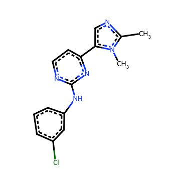 Cc1ncc(-c2ccnc(Nc3cccc(Cl)c3)n2)n1C